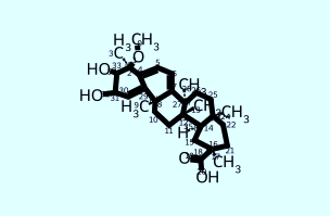 CO[C@@]1(C)C2=CC=C3[C@@](C)(CC[C@@]4(C)[C@@H]5C[C@](C)(C(=O)O)CC[C@]5(C)CC[C@]34C)C2=CC(O)C1O